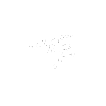 C=CC(=O)N(O)c1ccc(OC)c(-c2csc3c(=O)cc(N4CCOCC4)oc23)c1